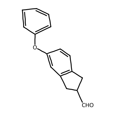 O=CC1Cc2ccc(Oc3ccccc3)cc2C1